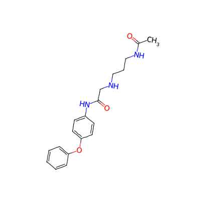 CC(=O)NCCCNCC(=O)Nc1ccc(Oc2ccccc2)cc1